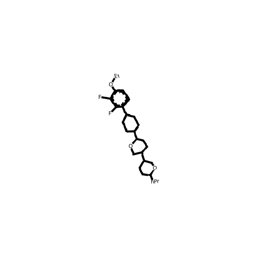 CCCC1CCC(C2CCC(C3CCC(c4ccc(OCC)c(F)c4F)CC3)OC2)CO1